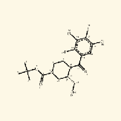 CC(C)(C)OC(=O)N1CCN(C(=O)c2cc(Cl)c(I)c(Cl)c2F)[C@H](CO)C1